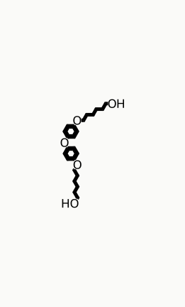 OCCCCCCOc1ccc(Oc2ccc(OCCCCCCO)cc2)cc1